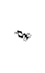 CC(C)(CN1CCNCC1)C(N)=O